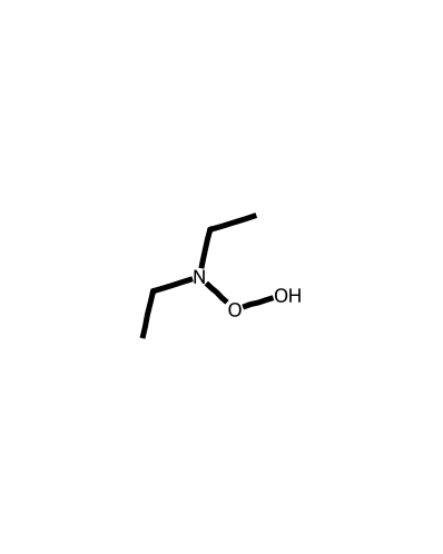 CCN(CC)OO